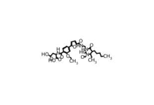 CCCCCC(C(=O)NCNC(=O)c1ccc(-c2ccc(C(=O)NC(CC(=O)O)C(=O)O)c(OCC)c2)o1)C(CC)N(O)C=O